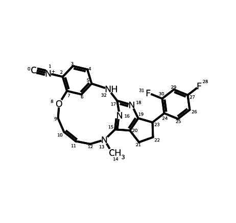 [C-]#[N+]c1ccc2cc1OC/C=C\CN(C)c1nc(nc3c1CCC3c1ccc(F)cc1F)N2